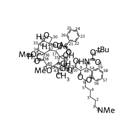 CNCCCCCC(=O)O[C@@H](C(=O)O[C@H]1C[C@@]2(O)[C@@H](OC(=O)c3ccccc3)[C@@H]3[C@]4(OC(C)=O)CO[C@@H]4C[C@H](OC)[C@@]3(C)C(=O)[C@H](OC)C(=C1C)C2(C)C)[C@@H](NC(=O)OC(C)(C)C)c1ccccc1